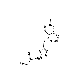 CCNC(=O)Nc1nnc(Sc2ccnc3cc(Cl)ccc23)s1